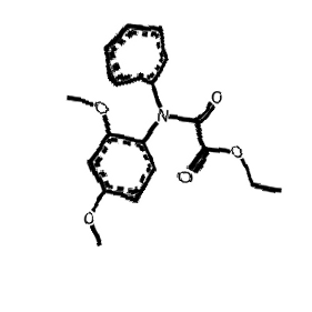 CCOC(=O)C(=O)N(c1ccccc1)c1ccc(OC)cc1OC